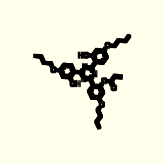 C=CC(=O)Oc1cc(OCCCC)ccc1-c1nc(-c2ccc(OCCCC)cc2O)nc(-c2ccc(OCCCC)cc2O)n1